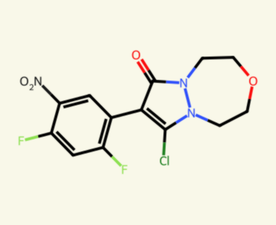 O=c1c(-c2cc([N+](=O)[O-])c(F)cc2F)c(Cl)n2n1CCOCC2